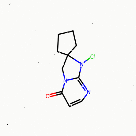 O=c1ccnc2n1CC1(CCCC1)N2Cl